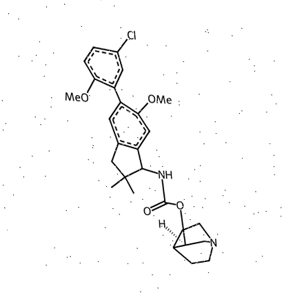 COc1ccc(Cl)cc1-c1cc2c(cc1OC)C(NC(=O)O[C@H]1CN3CCC1CC3)C(C)(C)C2